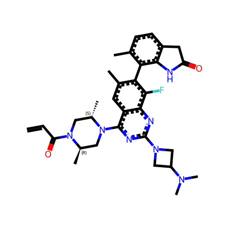 C=CC(=O)N1C[C@H](C)N(c2nc(N3CC(N(C)C)C3)nc3c(F)c(-c4c(C)ccc5c4NC(=O)C5)c(C)cc23)C[C@H]1C